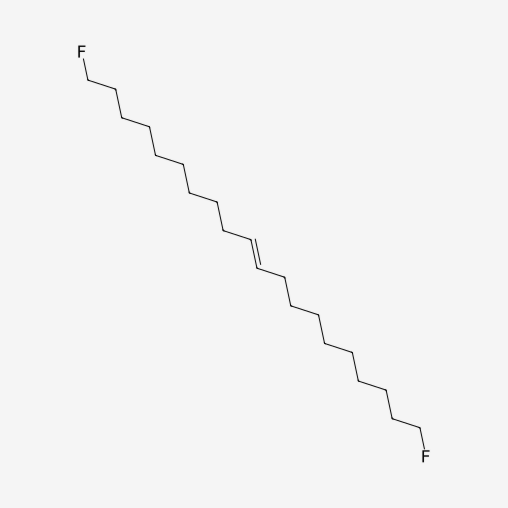 FCCCCCCCCCC=CCCCCCCCCCF